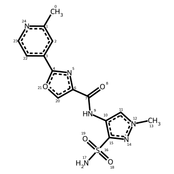 Cc1cc(-c2nc(C(=O)Nc3cn(C)nc3S(N)(=O)=O)co2)ccn1